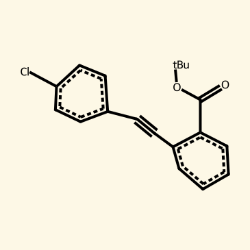 CC(C)(C)OC(=O)c1ccccc1C#Cc1ccc(Cl)cc1